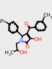 Cc1cccc(C(=O)C2=C(O)C(=O)N(CC(C)O)C2c2ccc(C(C)C)cc2)c1